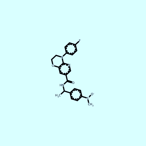 CC(NC(=O)c1cnc2c(c1)OCCN2c1ccc(F)cc1)c1ccc([S+](C)[O-])cc1